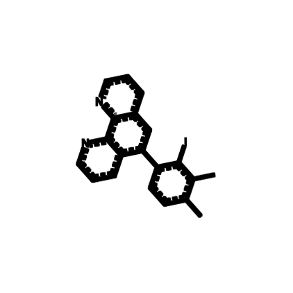 Cc1ccc(-c2cc3cccnc3c3ncccc23)c(I)c1C